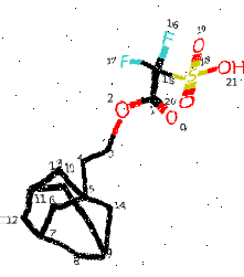 O=C(OCCC12CC3CC(CC(C3)C1)C2)C(F)(F)S(=O)(=O)O